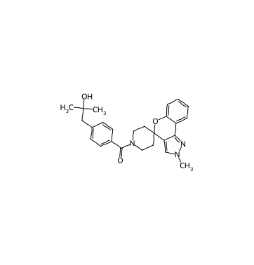 Cn1cc2c(n1)-c1ccccc1OC21CCN(C(=O)c2ccc(CC(C)(C)O)cc2)CC1